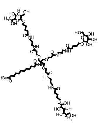 CC(CO)C(O)C(O)C(O)C(O)OCCCCC(=O)NCCCNC(=O)CCOCC(COCCC(=O)NCCCNC(=O)CCCCOC1OC(CO)C(O)C(O)C1O)(COCCC(=O)NCCCNC(=O)CCCCOC(OC(CO)[C@H](C)O)[C@H](O)CO)NC(=O)CCCCCCCCCCC(=O)C(C)(C)C